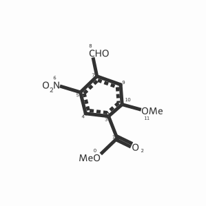 COC(=O)c1cc([N+](=O)[O-])c(C=O)cc1OC